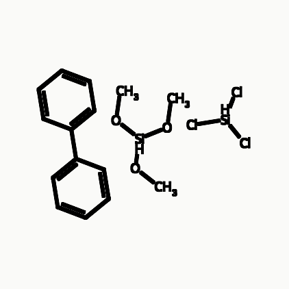 CO[SiH](OC)OC.Cl[SiH](Cl)Cl.c1ccc(-c2ccccc2)cc1